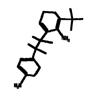 CC(C)(C)C1=C(N)C(C(C)(C)C(C)(C)C2=CC=C(N)CC2)=CCC1